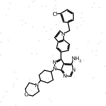 Nc1ncnc2c1c(-c1ccc3c(ccn3Cc3cccc(Cl)c3)c1)nn2C1CCC(N2CCOCC2)CC1